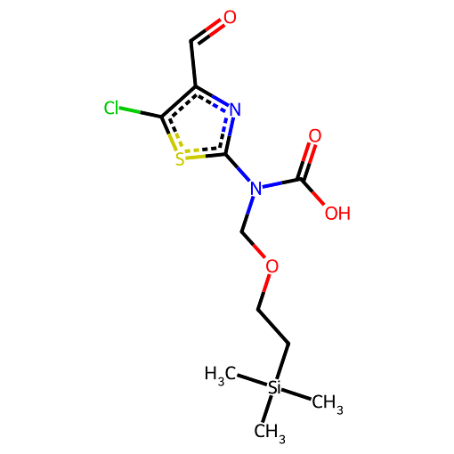 C[Si](C)(C)CCOCN(C(=O)O)c1nc(C=O)c(Cl)s1